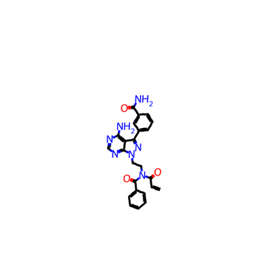 C=CC(=O)N(CCn1nc(-c2cccc(C(N)=O)c2)c2c(N)ncnc21)C(=O)c1ccccc1